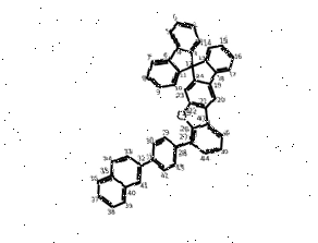 c1ccc2c(c1)-c1ccccc1C21c2ccccc2-c2cc3c(cc21)oc1c(-c2ccc(-c4ccc5ccccc5c4)cc2)cccc13